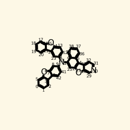 c1ccc2c(c1)oc1cc(N(c3ccc4oc5ccccc5c4c3)c3cc4oc5cnccc5c4c4ccccc34)ccc12